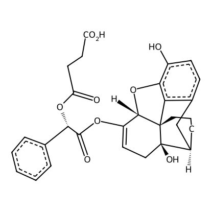 O=C(O)CCC(=O)O[C@H](C(=O)OC1=CC[C@@]2(O)[C@@H]3CCC[C@@]24c2c(ccc(O)c2O[C@@H]14)C3)c1ccccc1